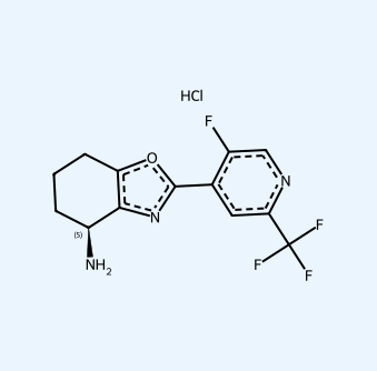 Cl.N[C@H]1CCCc2oc(-c3cc(C(F)(F)F)ncc3F)nc21